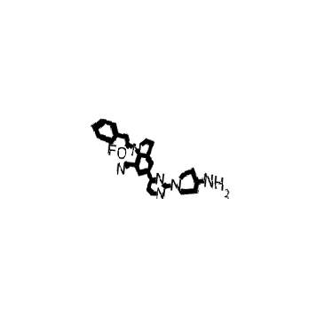 N#Cc1cc(-c2ccnc(N3CCC(N)CC3)n2)cc2c1N(C(=O)Cc1ccccc1F)CC2